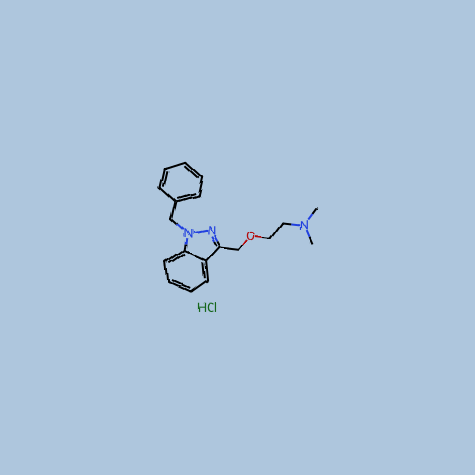 CN(C)CCOCc1nn(Cc2ccccc2)c2ccccc12.Cl